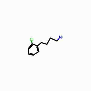 [N]CCCCc1ccccc1Cl